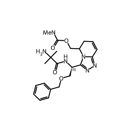 CNC(=O)OCC1CC=Cc2nnc([C@@H](COCc3ccccc3)NC(=O)C(C)(C)N)n21